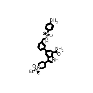 Bc1ccc(S(=O)(=O)NCc2cccc(-c3cc(C(N)=O)c4[nH]cc(C5CCN(S(=O)(=O)CC)CC5)c4c3)c2)cc1